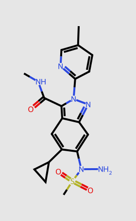 CNC(=O)c1c2cc(C3CC3)c(N(N)S(C)(=O)=O)cc2nn1-c1ccc(C)cn1